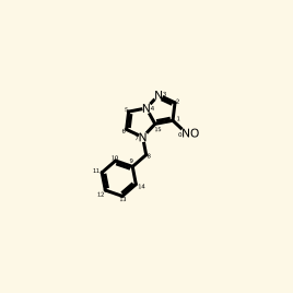 O=Nc1cnn2ccn(Cc3ccccc3)c12